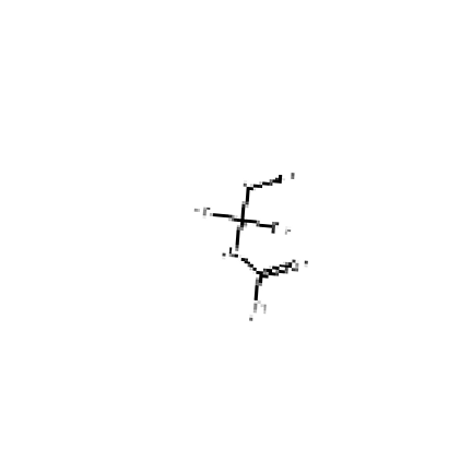 CC(C)C(=O)OC(F)(F)CF